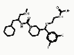 CNCC(CC1CCCCC1)NC(=O)N1CCCC(C(OCCNC(=O)O)c2cc(F)cc(Cl)c2)C1